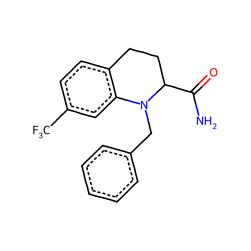 NC(=O)C1CCc2ccc(C(F)(F)F)cc2N1Cc1ccccc1